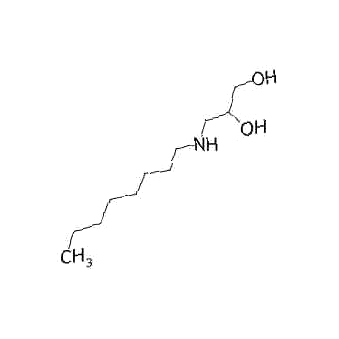 CCCCCCCCNCC(O)CO